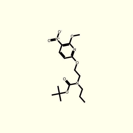 CCCN(CCOc1ccc([N+](=O)[O-])c(OC)n1)C(=O)OC(C)(C)C